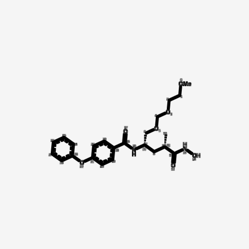 COCCOCOC[C@H](C[C@H](C)C(=O)NO)NC(=O)c1ccc(Oc2ccccc2)cc1